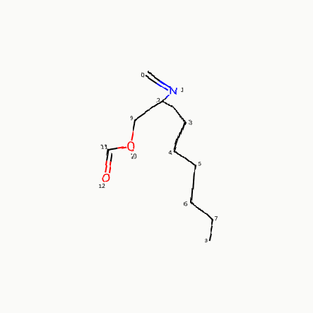 C=NC(CCCCCC)COC=O